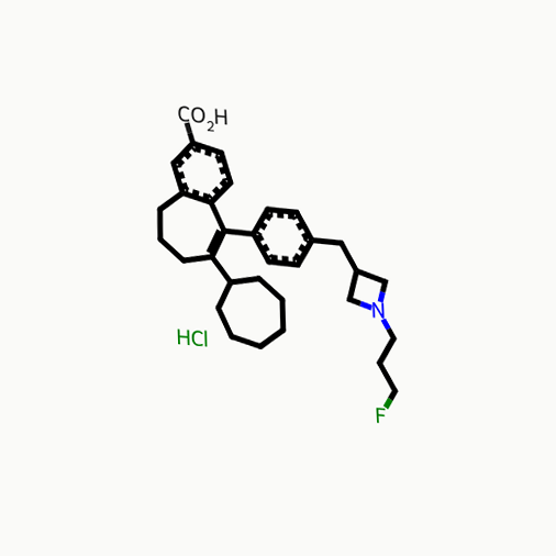 Cl.O=C(O)c1ccc2c(c1)CCCC(C1CCCCCC1)=C2c1ccc(CC2CN(CCCF)C2)cc1